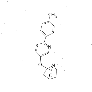 Cc1ccc(-c2ccc(OC3CC4CCN3CC4)cn2)cc1